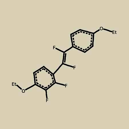 CCOc1ccc(/C(F)=C(\F)c2ccc(OCC)c(F)c2F)cc1